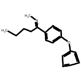 CCCC/C(=N\C)c1ccc(Oc2ccccc2)cc1